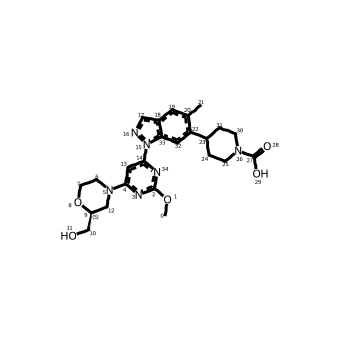 COc1nc(N2CCO[C@H](CO)C2)cc(-n2ncc3cc(C)c(C4CCN(C(=O)O)CC4)cc32)n1